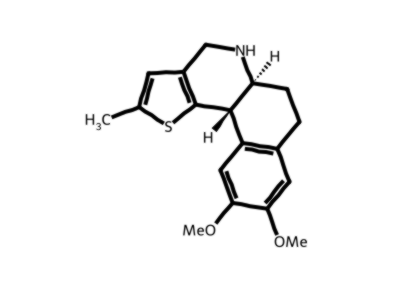 COc1cc2c(cc1OC)[C@@H]1c3sc(C)cc3CN[C@H]1CC2